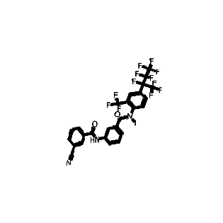 N#Cc1cccc(C(=O)Nc2cccc(C(=O)N(I)c3ccc(C(F)(C(F)(F)F)C(F)(F)C(F)(F)F)cc3C(F)(F)F)c2)c1